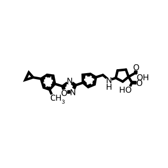 Cc1cc(C2CC2)ccc1-c1nc(-c2ccc(CNC3CCC(C(=O)O)(C(=O)O)C3)cc2)no1